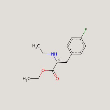 CCN[C@@H](Cc1ccc(F)cc1)C(=O)OCC